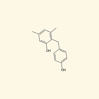 Cc1cc(C)c(Cc2ccc(O)cc2)c(O)c1